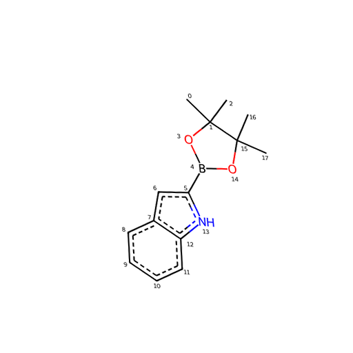 CC1(C)OB(c2cc3ccccc3[nH]2)OC1(C)C